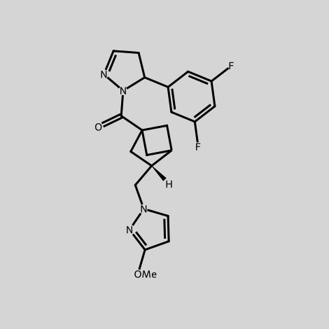 COc1ccn(C[C@@H]2CC3(C(=O)N4N=CCC4c4cc(F)cc(F)c4)CC2C3)n1